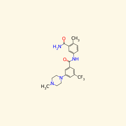 Cc1ccc(NC(=O)c2cc(N3CCN(C)CC3)cc(C(F)(F)F)c2)cc1C(N)=O